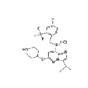 CC(C)c1cnc2c(NCc3ccc(F)cc3C(F)(F)F)cc(SC3CCNCC3)nn12.Cl